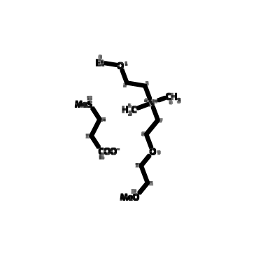 CCOCC[N+](C)(C)CCOCCOC.CSCCC(=O)[O-]